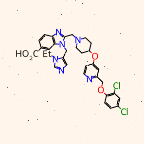 CCn1cncc1Cn1c(CN2CCC(Oc3ccnc(COc4ccc(Cl)cc4Cl)c3)CC2)nc2ccc(C(=O)O)cc21